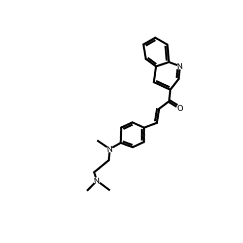 CN(C)CCN(C)c1ccc(C=CC(=O)c2cnc3ccccc3c2)cc1